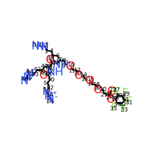 [N-]=[N+]=NCCCC[C@@H](CCOCCOCCOCCOCCC(=O)Oc1c(F)c(F)c(F)c(F)c1F)NC(=O)[C@H](CCCCN=[N+]=[N-])NC(=O)CCCN=[N+]=[N-]